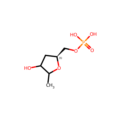 CC1O[C@H](COP(=O)(O)O)CC1O